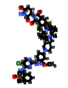 [2H]C1([2H])N(CC2CCN(c3ccc(Nc4ncc(Cl)c(Nc5ccccc5P(C)(C)=O)n4)c(OC)c3)CC2)C([2H])([2H])C([2H])([2H])N(c2c(F)cc3c(c2F)C(=O)N(C2CCC(=O)NC2=O)C3=O)C1([2H])[2H]